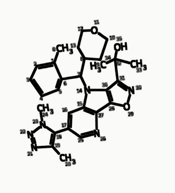 Cc1ccccc1C(C1CCOCC1)n1c2cc(-c3c(C)nnn3C)cnc2c2onc(C(C)(C)O)c21